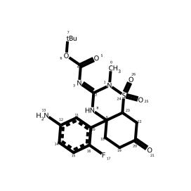 CN1/C(=N\C(=O)OC(C)(C)C)NC2(c3cc(N)ccc3F)CCC(=O)CC2S1(=O)=O